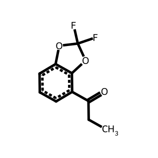 CCC(=O)c1cccc2c1OC(F)(F)O2